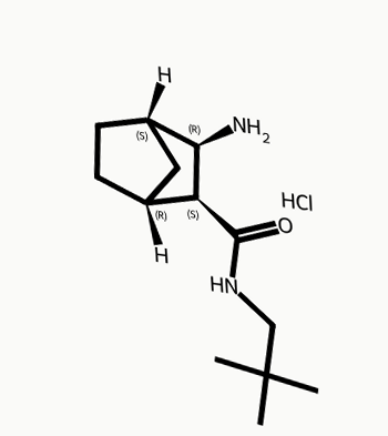 CC(C)(C)CNC(=O)[C@H]1[C@@H]2CC[C@@H](C2)[C@H]1N.Cl